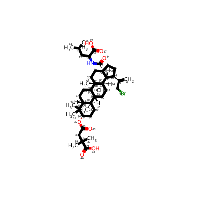 C=C(CBr)[C@@H]1CC[C@]2(C(=O)NC(CC(C)C)C(=O)O)CC[C@]3(C)[C@H](CC[C@@H]4[C@@]5(C)CC[C@H](OC(=O)CC(C)(C)C(=O)O)C(C)(C)[C@@H]5CC[C@]43C)[C@@H]12